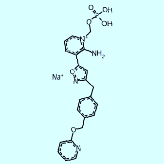 Nc1c(-c2cc(Cc3ccc(COc4ccccn4)cc3)no2)ccc[n+]1COP(=O)(O)O.[Na+]